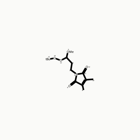 COC(CCN1C(=O)C(C)=C(C)C1=O)OOC(C)(C)C